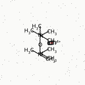 CCCCCCCCCCN(CCCCCCCCCC)C(CCCCCCCCCOCCCCCCCCCC(N(CCCCCCCCCC)CCCCCCCCCC)N(CCCCCCCCCC)CCCCCCCCCC)N(CCCCCCCCCC)CCCCCCCCCC.[Cl-].[Cl-].[Cl-].[Cl-].[Ti+4]